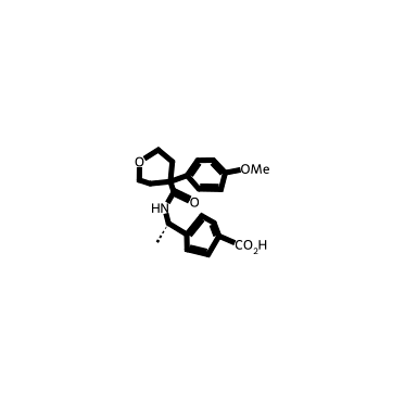 COc1ccc(C2(C(=O)N[C@@H](C)c3ccc(C(=O)O)cc3)CCOCC2)cc1